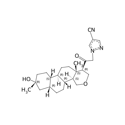 C[C@@]1(O)CC[C@H]2[C@H](CC[C@@H]3[C@@H]2CC[C@]2(C)[C@@H](C(=O)Cn4cc(C#N)cn4)COC[C@@H]32)C1